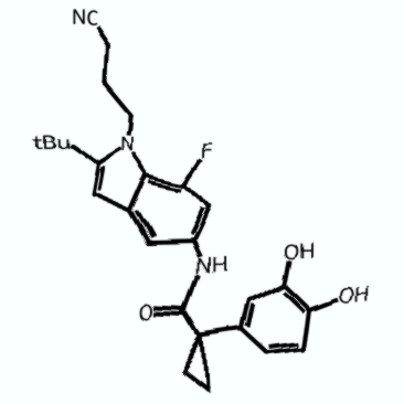 CC(C)(C)c1cc2cc(NC(=O)C3(c4ccc(O)c(O)c4)CC3)cc(F)c2n1CCCC#N